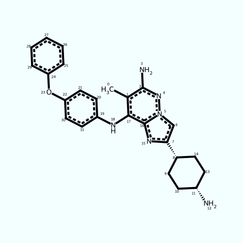 Cc1c(N)nn2cc([C@H]3CC[C@@H](N)CC3)nc2c1Nc1ccc(Oc2ccccc2)cc1